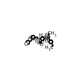 CCc1ccc(N(CC(C)C)S(=O)(=O)c2ccc(NCC3CCOC(CC4(C)CCOCC4)C3)c([N+](=O)[O-])c2)cc1